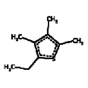 CCc1sc(C)c(C)c1C